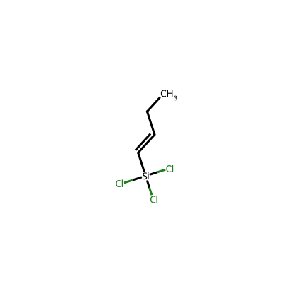 CC/C=C/[Si](Cl)(Cl)Cl